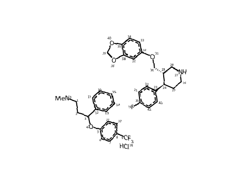 CNCCC(Oc1ccc(C(F)(F)F)cc1)c1ccccc1.Cl.Fc1ccc([C@@H]2CCNC[C@H]2COc2ccc3c(c2)OCO3)cc1